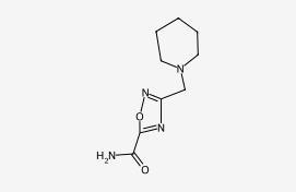 NC(=O)c1nc(CN2CCCCC2)no1